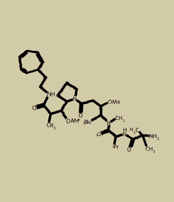 CCC(C)C(C(CC(=O)N1CCCC1C(OC)C(C)C(=O)NCCC1C=CC=CC=C1)OC)N(C)C(=O)C(NC(=O)C(C)(C)N)C(C)C